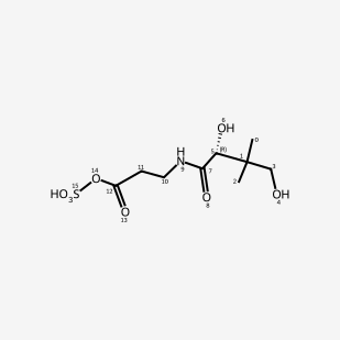 CC(C)(CO)[C@@H](O)C(=O)NCCC(=O)OS(=O)(=O)O